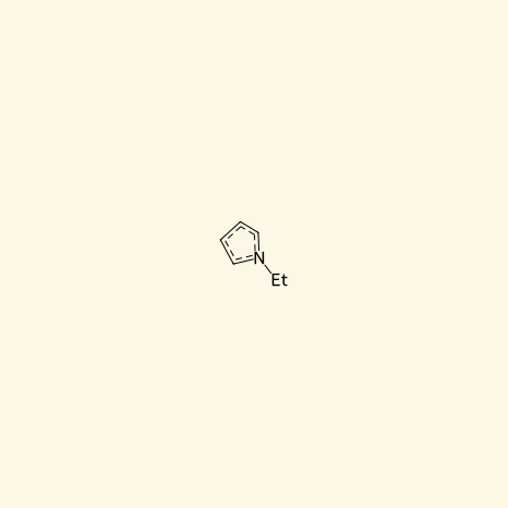 CCn1cccc1